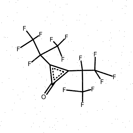 O=c1c(C(F)(C(F)(F)F)C(F)(F)F)c1C(F)(C(F)(F)F)C(F)(F)F